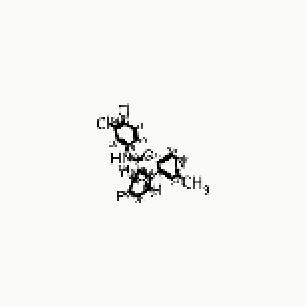 Cc1cc([C@@H]2[C@@H](C(=O)Nc3ccc(Cl)c(Cl)c3)[C@@H]3O[C@H]2C[C@@H]3F)ccn1